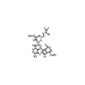 CCc1ccc(NC(=O)[C@H](CC/C=C/C(=O)N(C)C)NC(=O)OC)c(=O)n1Cc1nc2c(F)cnc(CC(C)C)c2[nH]1